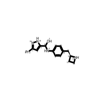 CC(C)c1cc(C(O)Nc2ccc(C[C@@H]3CCN3)cc2)[nH]n1